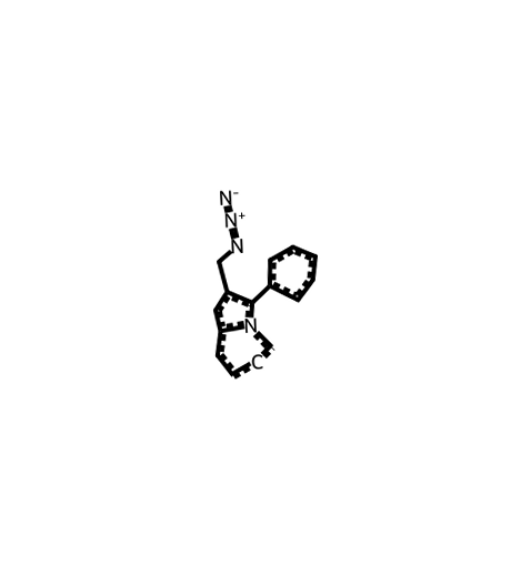 [N-]=[N+]=NCc1cc2ccccn2c1-c1ccccc1